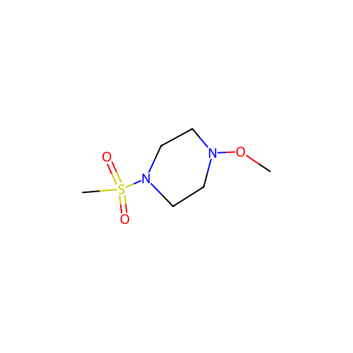 CON1CCN(S(C)(=O)=O)CC1